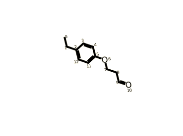 CCc1ccc(OCCC=O)cc1